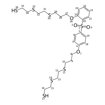 O=S(=O)(c1ccc(OCCCSCCSCCS)cc1)c1ccccc1OCCCSCCSCCS